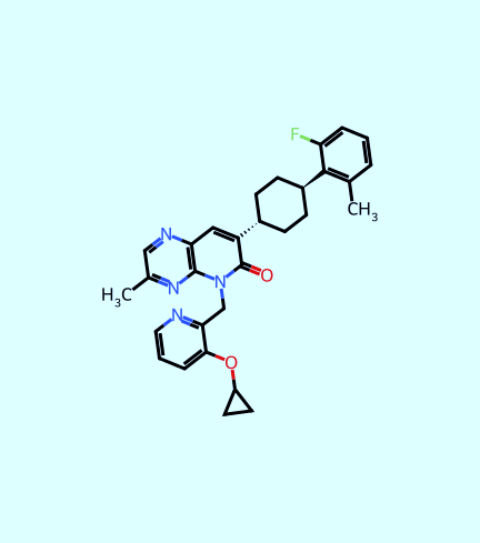 Cc1cnc2cc([C@H]3CC[C@H](c4c(C)cccc4F)CC3)c(=O)n(Cc3ncccc3OC3CC3)c2n1